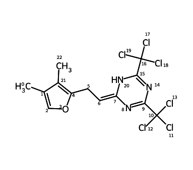 Cc1coc(CC=C2N=C(C(Cl)(Cl)Cl)N=C(C(Cl)(Cl)Cl)N2)c1C